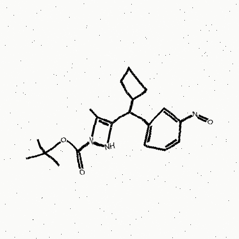 Cc1c(C(c2cccc(N=O)c2)C2CCC2)[nH]n1C(=O)OC(C)(C)C